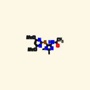 COc1cc(OC)nc(Sc2c(NC(=O)C(F)(F)F)nc(C)n2C)n1